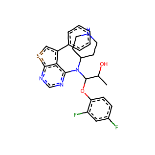 CC(O)C(Oc1ccc(F)cc1F)N(c1ncnc2scc(-c3ccccc3)c12)C1CCNCC1